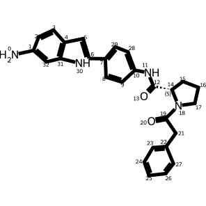 Nc1ccc2cc(-c3ccc(NC(=O)[C@@H]4CCCN4C(=O)Cc4ccccc4)cc3)[nH]c2c1